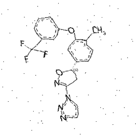 Cc1ccc([C@@H]2CC(n3ccnn3)=NO2)cc1Oc1cccc(C(F)(F)F)c1